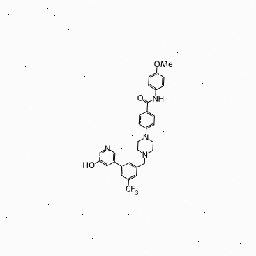 COc1ccc(NC(=O)c2ccc(N3CCN(Cc4cc(-c5cncc(O)c5)cc(C(F)(F)F)c4)CC3)cc2)cc1